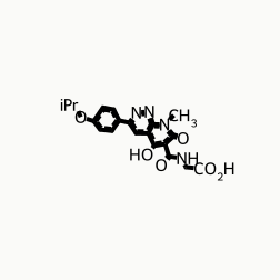 CC(C)Oc1ccc(-c2cc3c(O)c(C(=O)NCC(=O)O)c(=O)n(C)c3nn2)cc1